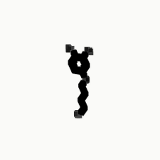 CCc1cc(OCCCCCl)ccc1Br